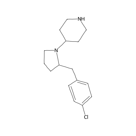 Clc1ccc(CC2CCCN2C2CCNCC2)cc1